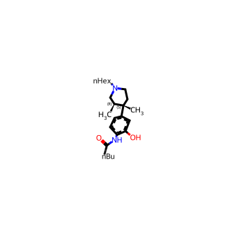 CCCCCCN1CC[C@](C)(c2ccc(NC(=O)CCCC)c(O)c2)[C@@H](C)C1